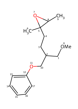 COC[C](CCC1(C)OC1C)COc1ccccc1